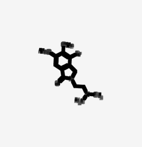 COc1cc2c(c(Br)c1OC)CN(CCN(C)C)C2=O